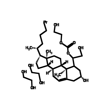 CC(C)CCC[C@@H](C)[C@H]1CC[C@H]2[C@@H]3CC=C4C[C@@H](O)CC(C(CO)OC(=O)OCCO)[C@]4(C)[C@H]3CC[C@]12C.OCCO.OCCO